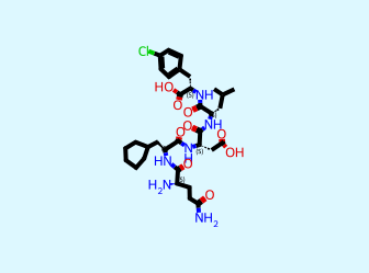 CC(C)C[C@H](NC(=O)[C@H](CC(=O)O)NC(=O)[C@H](CC1CCCCC1)NC(=O)[C@@H](N)CCC(N)=O)C(=O)N[C@@H](Cc1ccc(Cl)cc1)C(=O)O